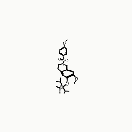 COc1ccc(S(=O)(=O)N2CCc3cc(O[Si](C(C)C)(C(C)C)C(C)C)c(OC)cc3C2)cc1